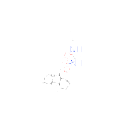 CCCCNC(=O)[C@H](C)NC(=O)OCC1c2ccccc2-c2ccccc21